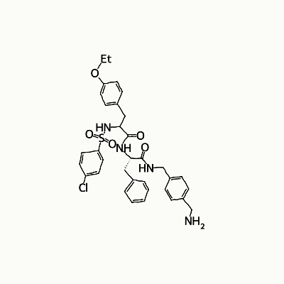 CCOc1ccc(CC(NS(=O)(=O)c2ccc(Cl)cc2)C(=O)N[C@@H](Cc2ccccc2)C(=O)NCc2ccc(CN)cc2)cc1